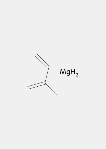 C=CC(=C)C.[MgH2]